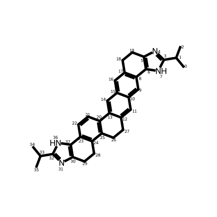 CC(C)c1nc2c([nH]1)-c1cc3cc4c(cc3cc1CC2)-c1ccc2c(c1CC4)CCc1nc(C(C)C)[nH]c1-2